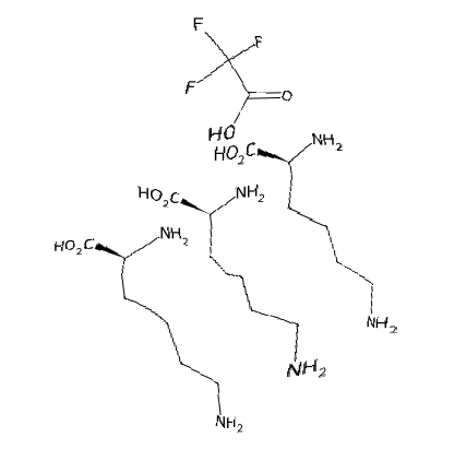 NCCCC[C@H](N)C(=O)O.NCCCC[C@H](N)C(=O)O.NCCCC[C@H](N)C(=O)O.O=C(O)C(F)(F)F